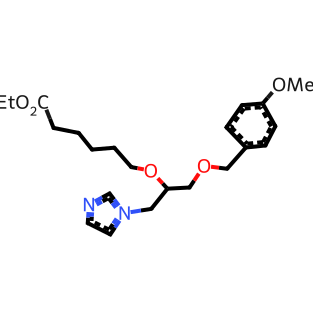 CCOC(=O)CCCCCOC(COCc1ccc(OC)cc1)Cn1ccnc1